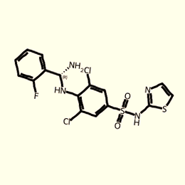 N[C@H](Nc1c(Cl)cc(S(=O)(=O)Nc2nccs2)cc1Cl)c1ccccc1F